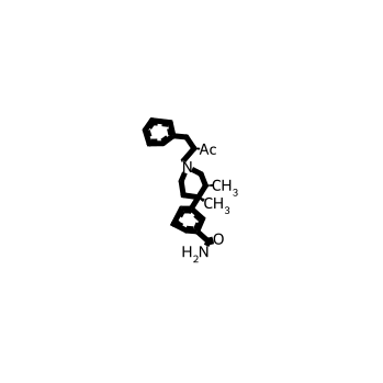 CC(=O)[C@@H](Cc1ccccc1)CN1CC[C@@](C)(c2cccc(C(N)=O)c2)[C@@H](C)C1